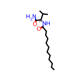 CCCCCCCCCCCC(=O)N[C@H](C(N)=O)C(C)C